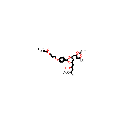 C=CC(=O)OCCCOc1ccc(C2OC(CC(O)CC(CC)OC(C)=O)CC(CC3CC(CC)OC(CCC)O3)O2)cc1